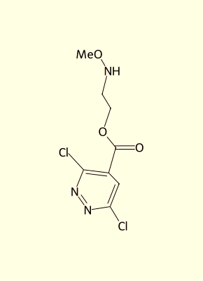 CONCCOC(=O)c1cc(Cl)nnc1Cl